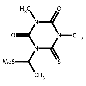 CSC(C)n1c(=O)n(C)c(=O)n(C)c1=S